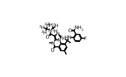 [2H]C(C)(Nc1ccc(F)cc1C(N)=O)c1cc(C)cc2c(=O)n(C)c3c(C(=O)N(C([2H])([2H])[2H])C([2H])([2H])[2H])ncn3c12